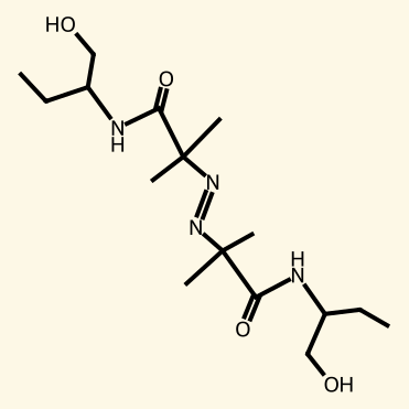 CCC(CO)NC(=O)C(C)(C)/N=N/C(C)(C)C(=O)NC(CC)CO